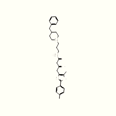 Cc1ccc(-c2nc(CC(=O)CC(=O)NCCCN3CCC(Cc4ccccc4)CC3)c(C)o2)cc1